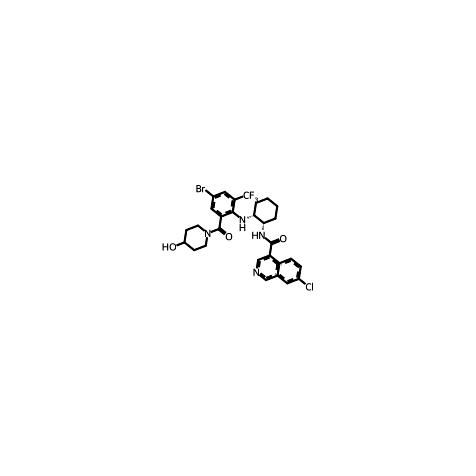 O=C(N[C@H]1CCCC[C@H]1Nc1c(C(=O)N2CCC(O)CC2)cc(Br)cc1C(F)(F)F)c1cncc2cc(Cl)ccc12